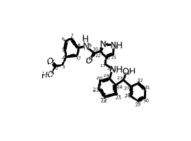 O=C(O)Cc1cccc(NC(=O)c2n[nH]cc2CNc2ccccc2C(O)c2ccccc2)c1